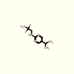 CC(C)c1cnc(NCC(C)(F)F)nc1